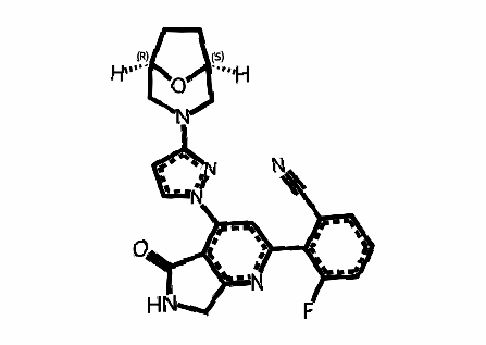 N#Cc1cccc(F)c1-c1cc(-n2ccc(N3C[C@H]4CC[C@@H](C3)O4)n2)c2c(n1)CNC2=O